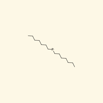 CCCCCCC[P]CCCCCCC